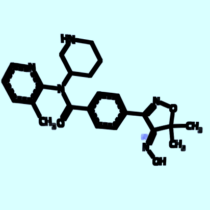 Cc1cccnc1N(C(=O)c1ccc(C2=NOC(C)(C)/C2=N\O)cc1)C1CCCNC1